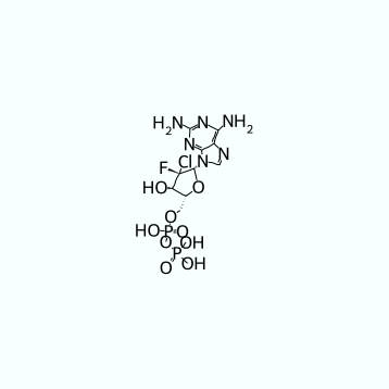 Nc1nc(N)c2ncn([C@@H]3O[C@H](COP(=O)(O)OP(=O)(O)O)[C@@H](O)[C@]3(F)Cl)c2n1